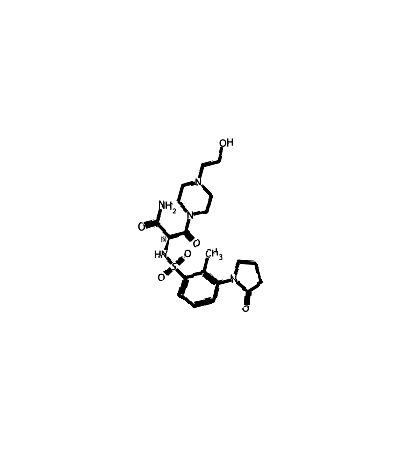 Cc1c(N2CCCC2=O)cccc1S(=O)(=O)N[C@@H](C(N)=O)C(=O)N1CCN(CCO)CC1